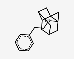 c1ccc(CCNC23CC4CC5CC2(C3)C5C4)cc1